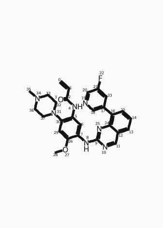 C=CC(=O)Nc1cc(Nc2ncc3cccc(-c4cncc(F)c4)c3n2)c(OC)cc1N1CCN(C)CC1